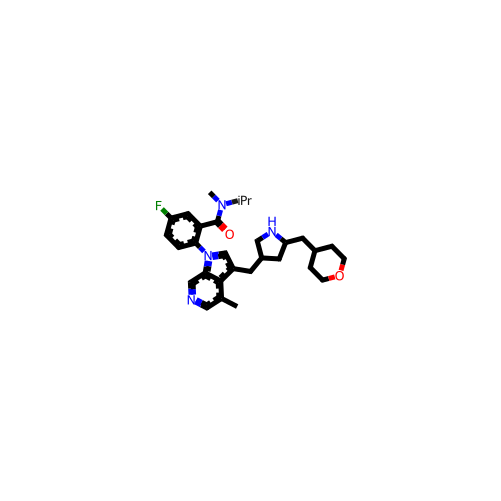 Cc1cncc2c1c(CC1CNC(CC3CCOCC3)C1)cn2-c1ccc(F)cc1C(=O)N(C)C(C)C